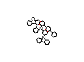 c1ccc(-c2ccc(-c3ccccc3N(c3cccc(-n4c5ccccc5c5ccccc54)c3)c3ccccc3-c3cccc4oc5ccccc5c34)cc2)cc1